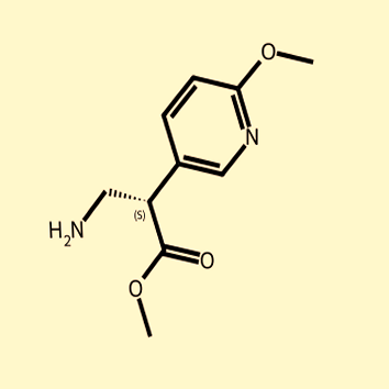 COC(=O)[C@H](CN)c1ccc(OC)nc1